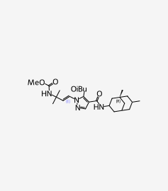 COC(=O)NC(C)(C)/C=C/n1ncc(C(=O)NC2CC3CC(C)C[C@](C)(C3)C2)c1OCC(C)C